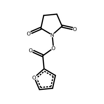 O=C(ON1C(=O)CCC1=O)c1ccco1